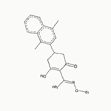 CCCC(=NOCC)C1=C(O)CC(c2cc(C)c3ccccc3c2C)CC1=O